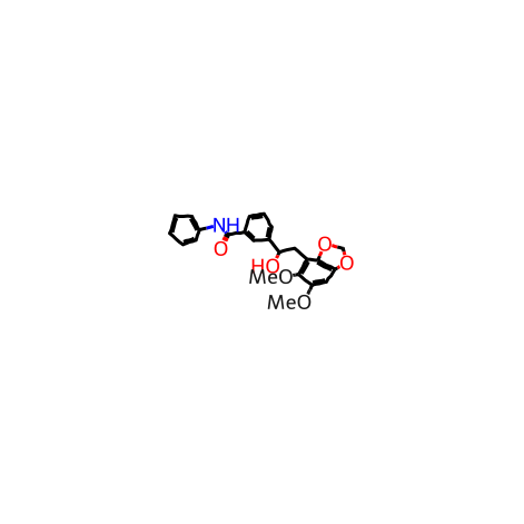 COc1cc2c(c(CC(O)c3cccc(C(=O)Nc4ccccc4)c3)c1OC)OCO2